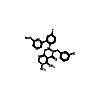 COc1cncc(-c2cc(F)ccc2[C@H]2CC3=NCN(N)C(C)=C3C(=O)N2Cc2cccc(Cl)c2)n1